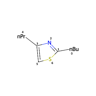 CCCCc1nc(CCC)cs1